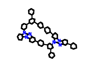 c1ccc(-c2cc(-c3ccccc3)cc(-c3cccc(-n4c5ccccc5n5c6ccc(-c7ccc(-c8cc(-c9ccccc9)cc(-n9c%10cc(-c%11ccccc%11)ccc%10n%10c%11ccc(-c%12ccccc%12)cc%11nc9%10)c8)cc7)cc6nc45)c3)c2)cc1